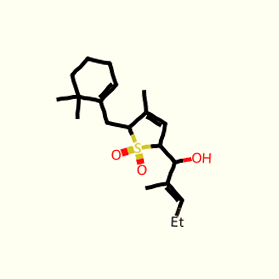 CC/C=C(\C)C(O)C1C=C(C)C(CC2=CCCCC2(C)C)S1(=O)=O